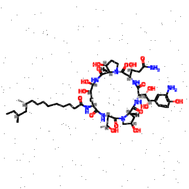 CC[C@H](C)C[C@H](C)CCCCCCCCC(=O)N[C@H]1C[C@@H](O)[C@@H](O)NC(=O)[C@@H]2[C@@H](O)CCN2C(=O)[C@H]([C@H](O)CC(N)=O)NC(=O)[C@H]([C@H](O)[C@@H](O)c2ccc(O)c(N)c2)NC(=O)[C@@H]2C[C@@H](O)CN2C(=O)[C@H]([C@@H](C)O)NC1=O